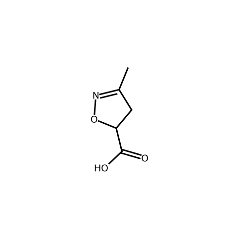 CC1=NOC(C(=O)O)C1